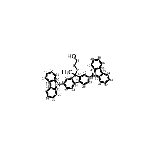 CC1(CCCO)c2cc(-n3c4ccccc4c4ccccc43)ccc2-c2ccc(-n3c4ccccc4c4ccccc43)cc21